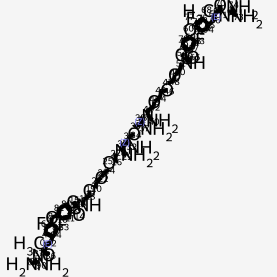 C/C(=C\c1cc(F)c(Oc2ccc(S(=O)(=O)NCCOCCOCCOCCN(N)/C=C(\N)COC/C(N)=C/N(N)CCOCCOCCOCCNS(=O)(=O)c3ccc(Oc4c(F)cc(/C=C(\C)C(=O)N=C(N)N)cc4F)cc3)cc2)c(F)c1)C(=O)N=C(N)N